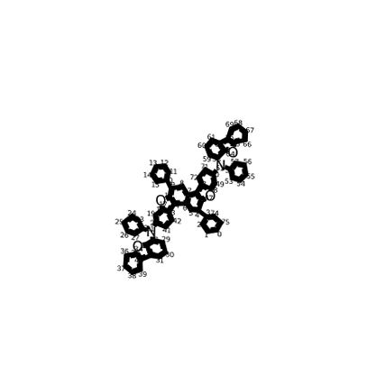 c1ccc(-c2cc3c(cc(-c4ccccc4)c4oc5cc(N(c6ccccc6)c6cccc7c6oc6ccccc67)ccc5c43)c3c2oc2cc(N(c4ccccc4)c4cccc5c4oc4ccccc45)ccc23)cc1